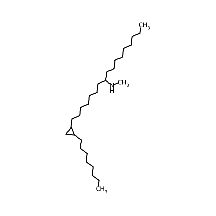 CCCCCCCCCC(CCCCCCCC1CC1CCCCCCCC)NC